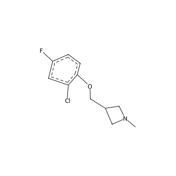 CN1CC(COc2ccc(F)cc2Cl)C1